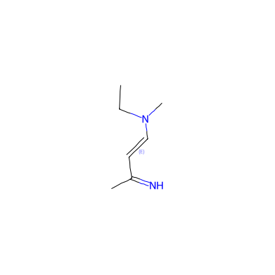 CCN(C)/C=C/C(C)=N